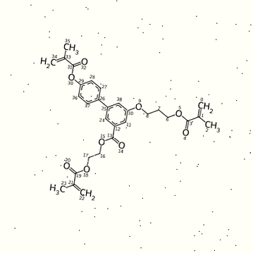 C=C(C)C(=O)OCCCOc1cc(C(=O)OCCOC(=O)C(=C)C)cc(-c2ccc(OC(=O)C(=C)C)cc2)c1